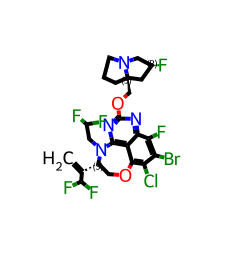 C=C(C(F)F)[C@H]1COc2c(Cl)c(Br)c(F)c3nc(OC[C@@]45CCCN4C[C@H](F)C5)nc(c23)N1CC(F)F